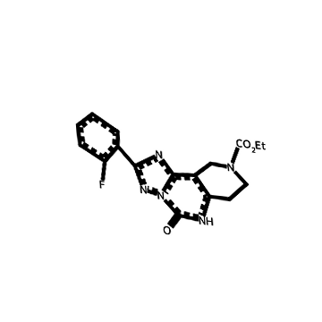 CCOC(=O)N1CCc2[nH]c(=O)n3nc(-c4ccccc4F)nc3c2C1